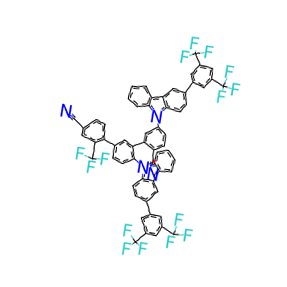 N#Cc1ccc(-c2ccc(-n3c4ccccc4c4cc(-c5cc(C(F)(F)F)cc(C(F)(F)F)c5)ccc43)c(-c3cc(-n4c5ccccc5c5cc(-c6cc(C(F)(F)F)cc(C(F)(F)F)c6)ccc54)ccc3C#N)c2)c(C(F)(F)F)c1